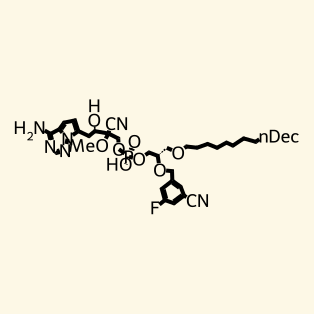 CCCCCCCCCCCCCCCCCCOC[C@@H](COP(=O)(O)OCC(C#N)(OC)[C@@H](O)Cc1ccc2c(N)ncnn12)OCc1cc(F)cc(C#N)c1